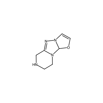 C1=CN2N=C3CNCCN3C2O1